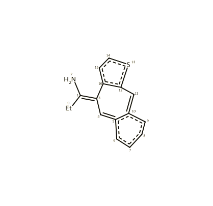 CCC(N)=C1C=c2ccccc2=Cc2sccc21